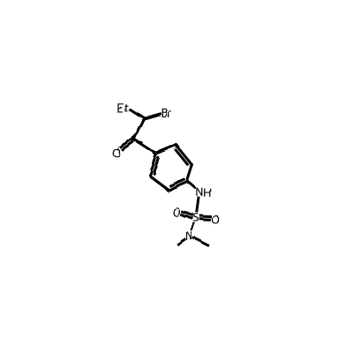 CCC(Br)C(=O)c1ccc(NS(=O)(=O)N(C)C)cc1